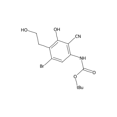 CC(C)(C)OC(=O)Nc1cc(Br)c(CCO)c(O)c1C#N